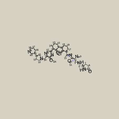 C=N/C(CNC[C@@H]1CCC(=O)N1)=C(\N=C(/C)c1cccc(-c2cccc(-c3cnc(CN4CCC(c5cccnc5)C4)c(OC)n3)c2Cl)c1Cl)OC